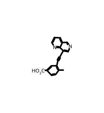 Cc1ccc(C(=O)O)cc1C#Cc1cncc2cccnc12